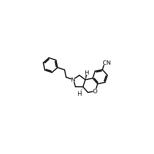 N#Cc1ccc2c(c1)[C@H]1CN(CCc3ccccc3)C[C@@H]1CO2